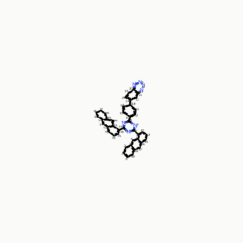 c1ccc2cc3c(-c4nc(-c5ccc(-c6ccc7nnnnc7c6)cc5)nc(-c5cccc6cc7ccccc7cc56)n4)cccc3cc2c1